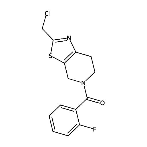 O=C(c1ccccc1F)N1CCc2nc(CCl)sc2C1